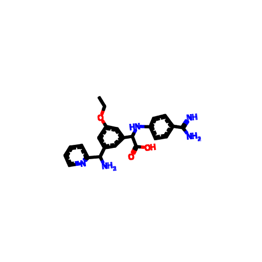 CCOc1cc(C(Nc2ccc(C(=N)N)cc2)C(=O)O)cc(C(N)c2ccccn2)c1